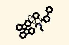 C=C/C=C(\C=C)N(C1=CCCC(c2ccccc2)=C1)c1cccc2c1Oc1cc3c(cc1O2)-c1ccccc1C31c2ccccc2-c2ccccc21